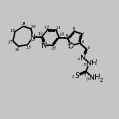 NC(=S)NN=Cc1ccc(-c2ccc(N3CCCCCC3)nc2)o1